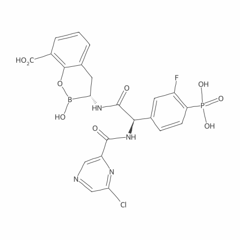 O=C(N[C@@H](C(=O)N[C@H]1Cc2cccc(C(=O)O)c2OB1O)c1ccc(P(=O)(O)O)c(F)c1)c1cncc(Cl)n1